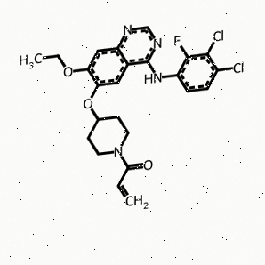 C=CC(=O)N1CCC(Oc2cc3c(Nc4ccc(Cl)c(Cl)c4F)ncnc3cc2OCC)CC1